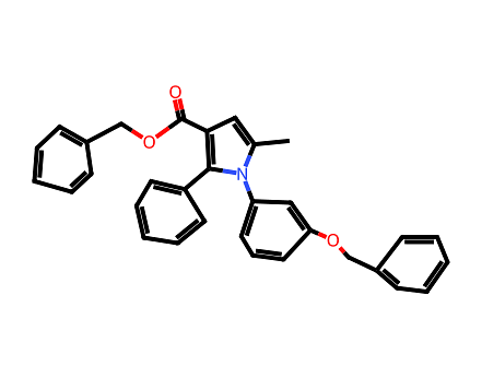 Cc1cc(C(=O)OCc2ccccc2)c(-c2ccccc2)n1-c1cccc(OCc2ccccc2)c1